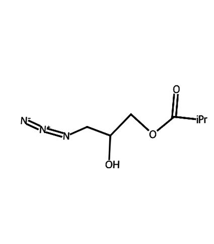 CC(C)C(=O)OCC(O)CN=[N+]=[N-]